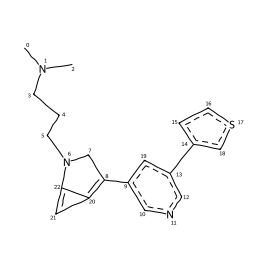 CN(C)CCCN1CC(c2cncc(-c3ccsc3)c2)=C2C=C21